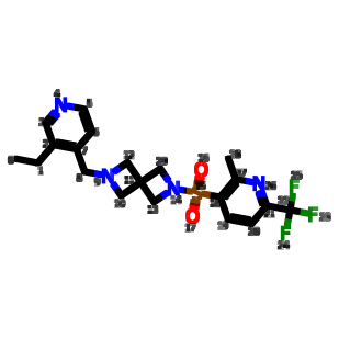 CCc1cnccc1CN1CC2(C1)CN(S(=O)(=O)c1ccc(C(F)(F)F)nc1C)C2